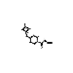 CC(C)(C)OC(=O)N1CCN(CC2CNC2)CC1